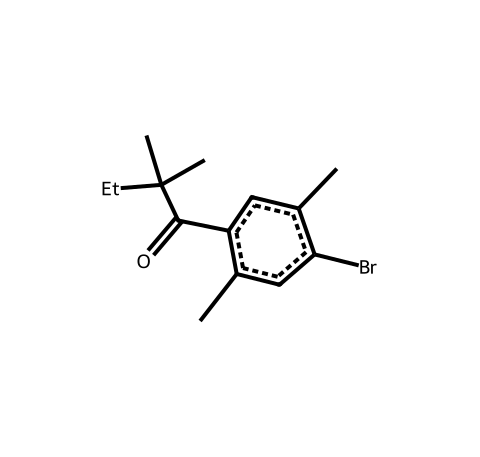 CCC(C)(C)C(=O)c1cc(C)c(Br)cc1C